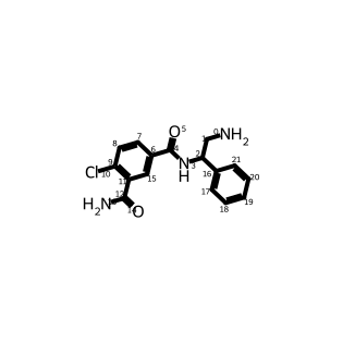 NCC(NC(=O)c1ccc(Cl)c(C(N)=O)c1)c1ccccc1